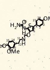 COc1ccc(-c2cc(OCNCCc3ccc(OC)c(OC)c3)c(NC(N)=O)s2)cc1